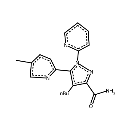 CCCCc1c(C(N)=O)nn(-c2ccccn2)c1-c1ccc(C)cn1